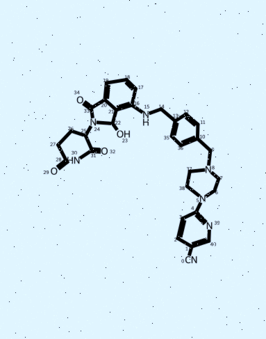 N#Cc1ccc(N2CCN(Cc3ccc(CNc4cccc5c4C(O)N(C4CCC(=O)NC4=O)C5=O)cc3)CC2)nc1